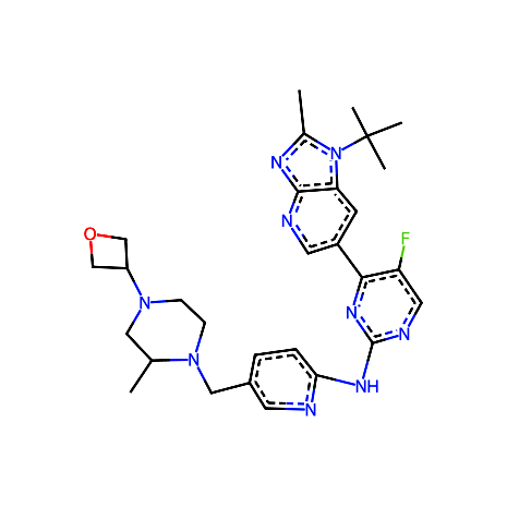 Cc1nc2ncc(-c3nc(Nc4ccc(CN5CCN(C6COC6)CC5C)cn4)ncc3F)cc2n1C(C)(C)C